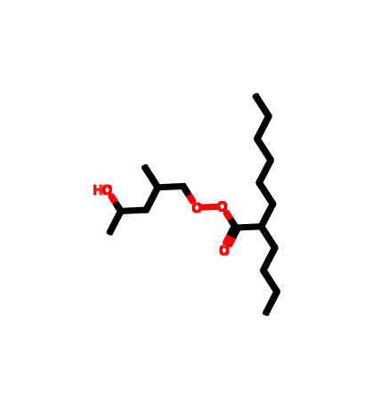 CCCCCCC(CCCC)C(=O)OOCC(C)CC(C)O